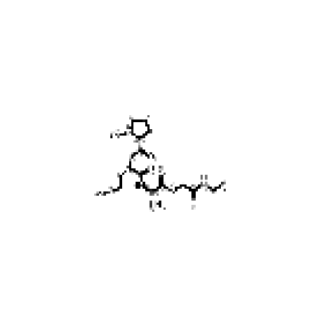 CSCC[C@H](NC(=O)[C@@H]1CCCN1C(C)C)C(=O)N[C@@H](C)C(=O)NCC(=O)NCC(C)=O